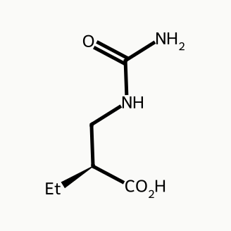 CC[C@@H](CNC(N)=O)C(=O)O